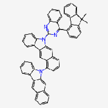 CC1(C)c2ccccc2-c2c(-c3nc(-n4c5ccccc5c5cc6c(-n7c8ccccc8c8cc9ccccc9cc87)cccc6cc54)nc4ccccc34)cccc21